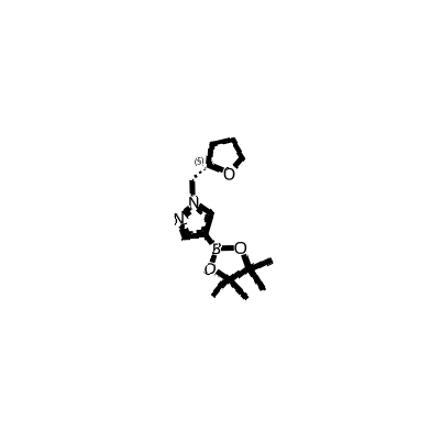 CC1(C)OB(c2cnn(C[C@@H]3CCCO3)c2)OC1(C)C